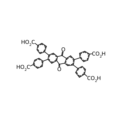 O=C(O)c1ccc(-c2cc3c(cc2-c2ccc(C(=O)O)cc2)C(=O)c2cc(-c4ccc(C(=O)O)cc4)c(-c4ccc(C(=O)O)cc4)cc2C3=O)cc1